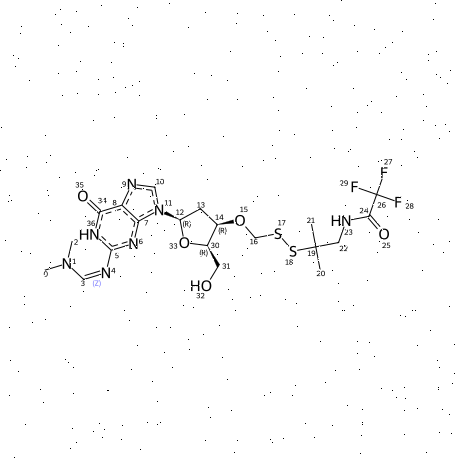 CN(C)/C=N\c1nc2c(ncn2[C@H]2C[C@@H](OCSSC(C)(C)CNC(=O)C(F)(F)F)[C@@H](CO)O2)c(=O)[nH]1